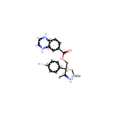 COC[C@](COC(=O)c1ccc2nccnc2c1)(C(C)=N)c1ccc(F)cc1